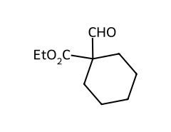 CCOC(=O)C1(C=O)CCCCC1